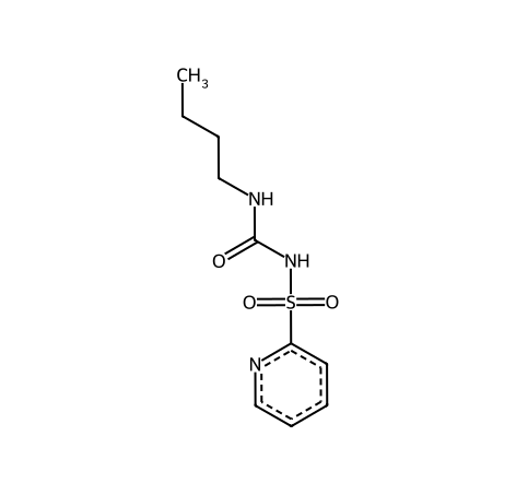 CCCCNC(=O)NS(=O)(=O)c1ccccn1